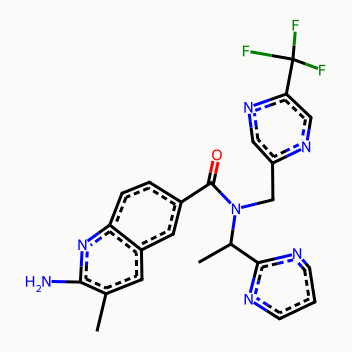 Cc1cc2cc(C(=O)N(Cc3cnc(C(F)(F)F)cn3)C(C)c3ncccn3)ccc2nc1N